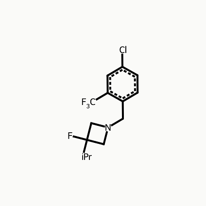 CC(C)C1(F)CN(Cc2ccc(Cl)cc2C(F)(F)F)C1